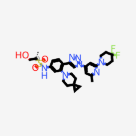 Cc1cc(-n2cc(-c3ccc(NS(=O)(=O)[C@@H](C)CO)cc3N3CCC4(CC3)CC4)nn2)cc(N2CCC(F)(F)CC2)n1